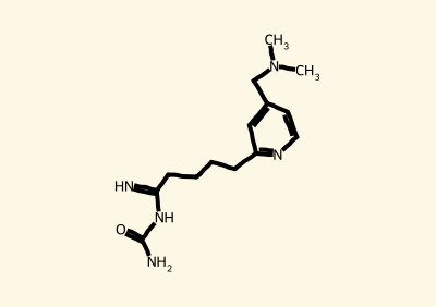 CN(C)Cc1ccnc(CCCCC(=N)NC(N)=O)c1